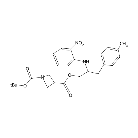 Cc1ccc(CC(COC(=O)C2CN(C(=O)OC(C)(C)C)C2)Nc2ccccc2[N+](=O)[O-])cc1